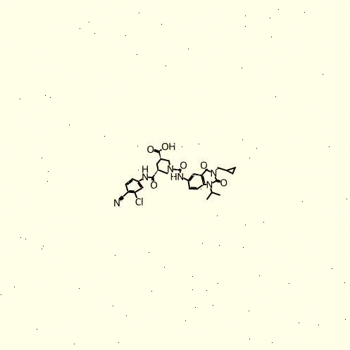 CC(C)n1c(=O)n(CC2CC2)c(=O)c2cc(NC(=O)N3C[C@H](C(=O)O)C[C@H](C(=O)Nc4ccc(C#N)c(Cl)c4)C3)ccc21